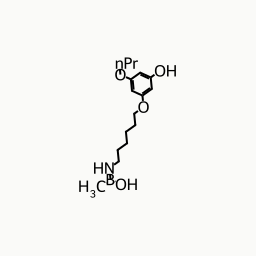 CCCOc1cc(O)cc(OCCCCCCNB(C)O)c1